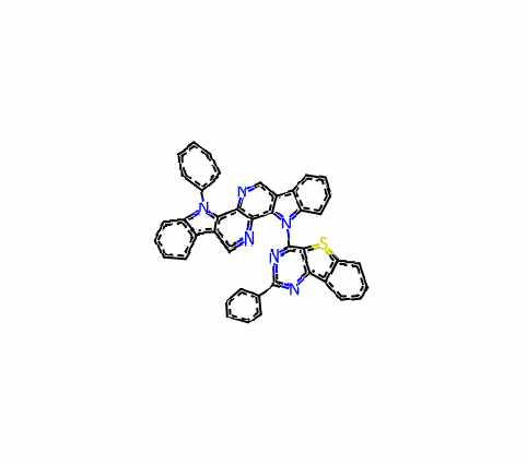 c1ccc(-c2nc(-n3c4ccccc4c4cnc5c(ncc6c7ccccc7n(-c7ccccc7)c65)c43)c3sc4ccccc4c3n2)cc1